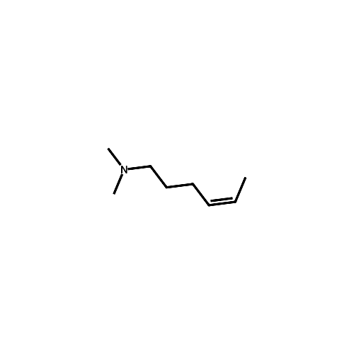 C/C=C\CCCN(C)C